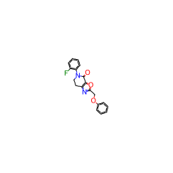 O=C1c2oc(COc3ccccc3)nc2CCN1c1ccccc1F